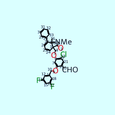 CNC(=O)C1(COc2cc(OCc3cc(F)cc(F)c3)c(C=O)cc2Cl)C=CC=C(c2ccccc2)C1(C)C